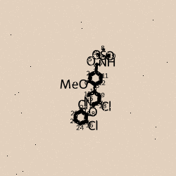 COc1cc(C(=O)NS(C)(=O)=O)ccc1-c1cnc(Oc2c(Cl)cccc2Cl)c(Cl)c1